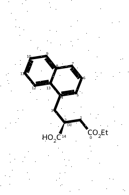 CCOC(=O)C[C@H](Cc1cccc2ccccc12)C(=O)O